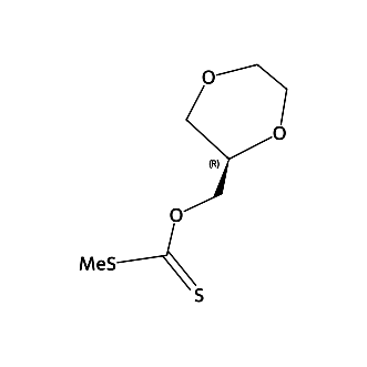 CSC(=S)OC[C@H]1COCCO1